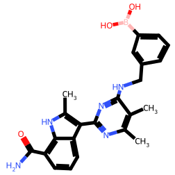 Cc1nc(-c2c(C)[nH]c3c(C(N)=O)cccc23)nc(NCc2cccc(B(O)O)c2)c1C